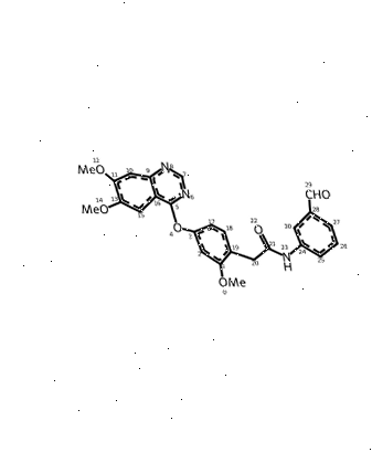 COc1cc(Oc2ncnc3cc(OC)c(OC)cc23)ccc1CC(=O)Nc1cccc(C=O)c1